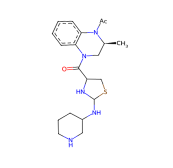 CC(=O)N1c2ccccc2N(C(=O)C2CSC(NC3CCCNC3)N2)C[C@@H]1C